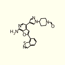 Nc1ncc(-c2cnn(C3CCN(C=O)CC3)c2)c2cc(-c3cccc4cnsc34)oc12